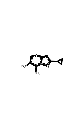 Nc1c(C(=O)O)cnc2cc(C3CC3)nn12